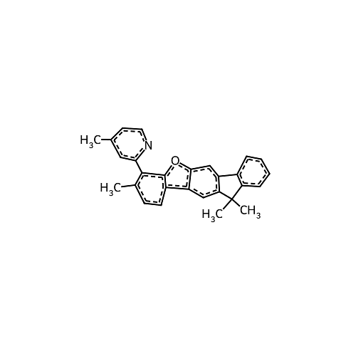 Cc1ccnc(-c2c(C)ccc3c2oc2cc4c(cc23)C(C)(C)c2ccccc2-4)c1